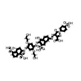 O=C(O)C1=NN(c2ccc(S(=O)(=O)O)cc2)C(=O)C1/N=N/c1ccc2c(O)c(/N=N/c3cc(OCCO)c(/N=N/c4ccc5c(S(=O)(=O)O)cccc5c4S(=O)(=O)O)cc3OCCO)c(S(=O)(=O)O)cc2c1